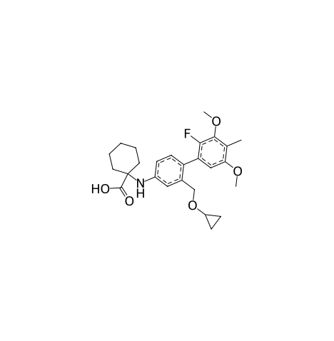 COc1cc(-c2ccc(NC3(C(=O)O)CCCCC3)cc2COC2CC2)c(F)c(OC)c1C